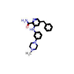 CN1CCN(c2cccc(Nc3cc(Cc4ccccc4)cnc3C(N)=O)c2)CC1